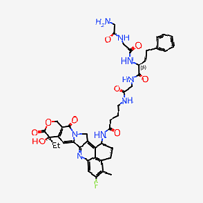 CC[C@@]1(O)C(=O)OCc2c1cc1n(c2=O)Cc2c-1nc1cc(F)c(C)c3c1c2C(NC(=O)CCCNC(=O)CNC(=O)[C@H](CCc1ccccc1)NC(=O)CNC(=O)CN)CC3